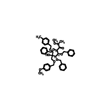 COc1ccc(COCC(O)(COCc2ccc(C)cc2)[C@@H](OCc2ccccc2)[C@H](OCc2ccccc2)[C@@H](OCc2ccccc2)C(=O)N(C)OC)cc1